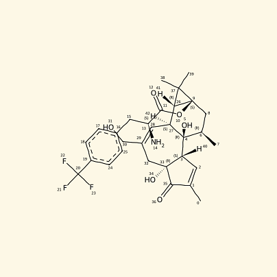 CC1=C[C@H]2[C@@]3(O)[C@H](C)C[C@]4(OC(=O)[C@@H](N)Cc5ccc(C(F)(F)F)cc5)[C@H]([C@@H]3C=C(CO)C[C@]2(O)C1=O)C4(C)C